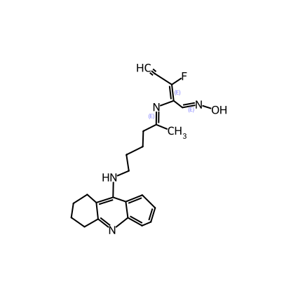 C#C/C(F)=C(/C=N/O)\N=C(/C)CCCCNc1c2c(nc3ccccc13)CCCC2